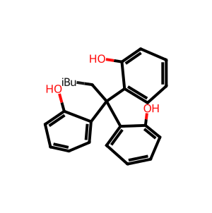 CCC(C)CC(c1ccccc1O)(c1ccccc1O)c1ccccc1O